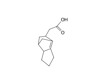 O=C(O)CC1CC2CC1=C1CCCC12